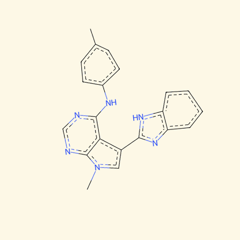 Cc1ccc(Nc2ncnc3c2c(-c2nc4ccccc4[nH]2)cn3C)cc1